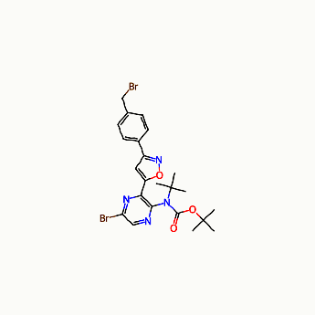 CC(C)(C)OC(=O)N(c1ncc(Br)nc1-c1cc(-c2ccc(CBr)cc2)no1)C(C)(C)C